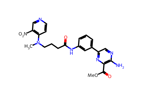 COC(=O)c1nc(-c2cccc(NC(=O)CCCN(C)c3ccncc3[N+](=O)[O-])c2)cnc1N